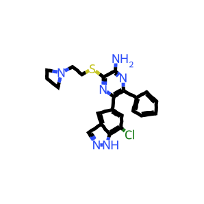 Nc1nc(-c2ccccc2)c(-c2cc(Cl)c3[nH]ncc3c2)nc1SCCN1CCC1